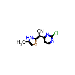 CC1=CS/C(=C(/C#N)c2ccnc(Cl)n2)N1